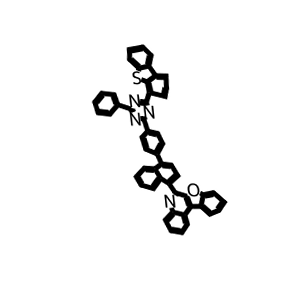 c1ccc(-c2nc(-c3ccc(-c4ccc(-c5nc6ccccc6c6c5oc5ccccc56)c5ccccc45)cc3)nc(-c3cccc4c3sc3ccccc34)n2)cc1